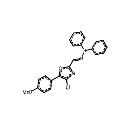 COc1ccc(-c2oc(C=NN(c3ccccc3)c3ccccc3)nc2Cl)cc1